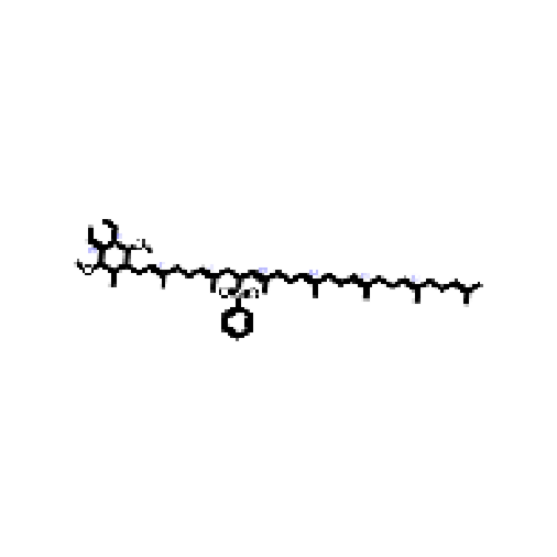 C/C=C1\C(=C/C)C(OC)C(C/C=C(\C)CC/C=C(\C)CC(/C=C(\C)CC/C=C(\C)CC/C=C(\C)CC/C=C(\C)CCC=C(C)C)S(=O)(=O)c2ccccc2)C(C)C1OC